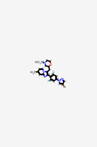 Cc1ccn2c(CC3CN(C(=O)O)CCO3)c(-c3c(F)cc(-n4cc(Br)cn4)cc3F)nc2c1